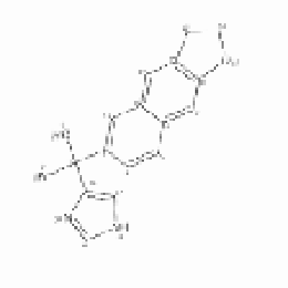 CC(C)C(O)(c1ccc2cc3c(cc2c1)CCO3)c1c[nH]cn1